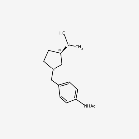 CC(=O)Nc1ccc(CN2CC[C@@H](N(C)C)C2)cc1